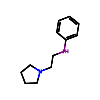 c1ccc(PCCN2CCCC2)cc1